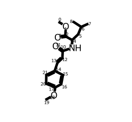 COC(=O)C(CC(C)C)NC(=O)C=Cc1ccc(OC)cc1